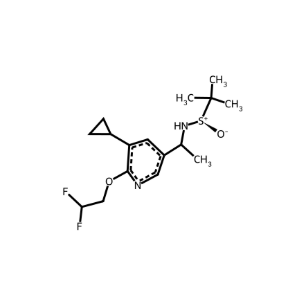 CC(N[S@+]([O-])C(C)(C)C)c1cnc(OCC(F)F)c(C2CC2)c1